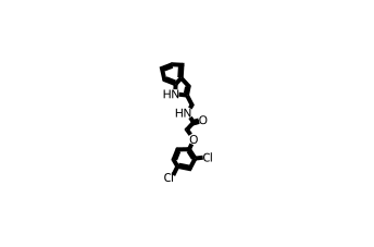 O=C(COc1ccc(Cl)cc1Cl)NCc1cc2ccccc2[nH]1